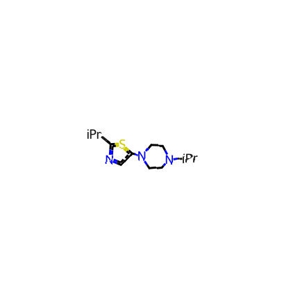 CC(C)c1ncc(N2CCN(C(C)C)CC2)s1